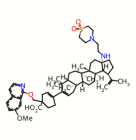 C=C(C)[C@@H]1CC[C@]2(NCCN3CCS(=O)(=O)CC3)CC[C@]3(C)[C@H](CC[C@@H]4[C@@]5(C)CC=C(C6=CCC(COc7nccc8ccc(OC)cc78)(C(=O)O)CC6)C(C)(C)[C@@H]5CC[C@]43C)[C@@H]12